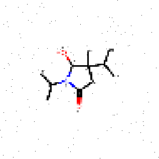 CC(C)N1C(=O)CC(C)(C(C)C)C1O